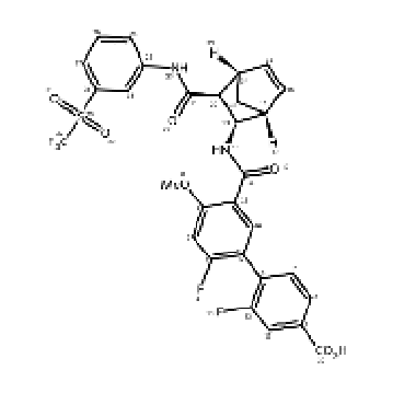 COc1cc(F)c(-c2ccc(C(=O)O)cc2F)cc1C(=O)N[C@H]1[C@@H](C(=O)Nc2cccc(S(=O)(=O)C(F)(F)F)c2)[C@@H]2C=C[C@H]1C2